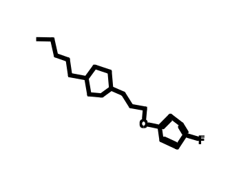 CCCCCC1CCC(CCCOc2ccc(F)cc2)CC1